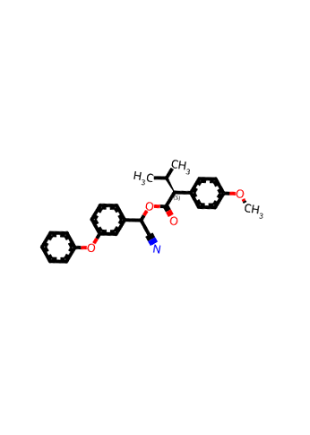 COc1ccc([C@@H](C(=O)OC(C#N)c2cccc(Oc3ccccc3)c2)C(C)C)cc1